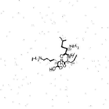 CC[C@H](C)[C@H](NC(=O)[C@@H](N)CC(C)C)C(=O)N[C@@H](CCCCN)C(=O)O